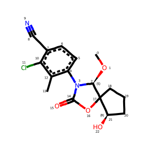 CO[C@@H]1N(c2ccc(C#N)c(Cl)c2C)C(=O)OC12CCC[C@H]2O